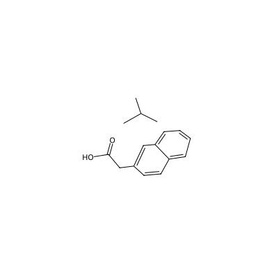 CC(C)C.O=C(O)Cc1ccc2ccccc2c1